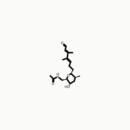 CC(=O)NC[C@H]1O[C@@H](CC/C=C(C)/C(C)=C/C=O)[C@@H](C)C[C@@H]1O